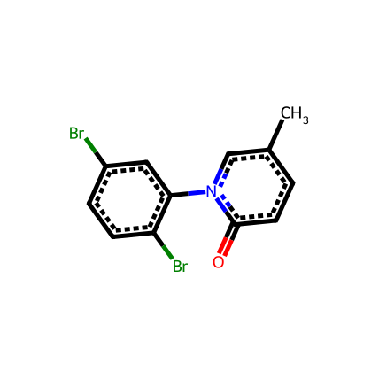 Cc1ccc(=O)n(-c2cc(Br)ccc2Br)c1